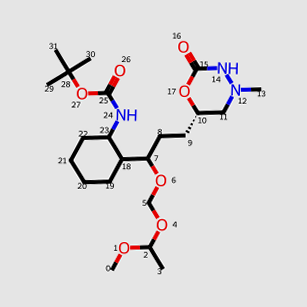 COC(C)OCOC(CC[C@H]1CN(C)NC(=O)O1)C1CCCCC1NC(=O)OC(C)(C)C